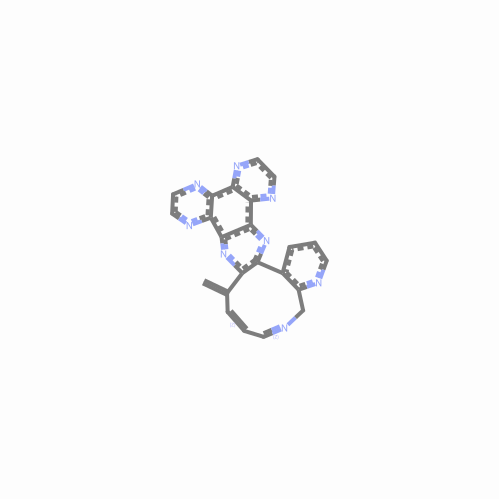 C=C1/C=C\C=N/Cc2ncccc2-c2nc3c4nccnc4c4nccnc4c3nc21